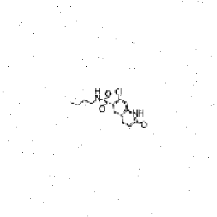 CCCCNS(=O)(=O)c1cc2c[c]c(=O)[nH]c2cc1Cl